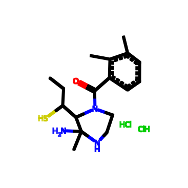 CCC(S)C1N(C(=O)c2cccc(C)c2C)CCNC1(C)N.Cl.Cl